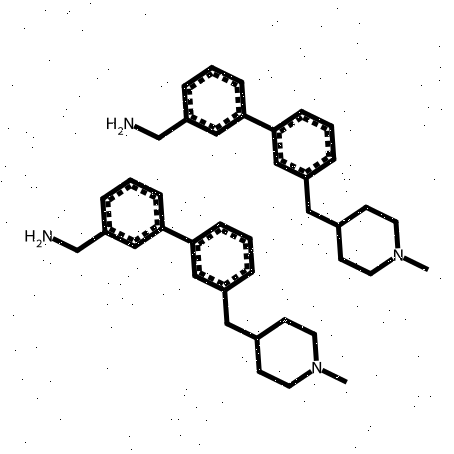 CN1CCC(Cc2cccc(-c3cccc(CN)c3)c2)CC1.CN1CCC(Cc2cccc(-c3cccc(CN)c3)c2)CC1